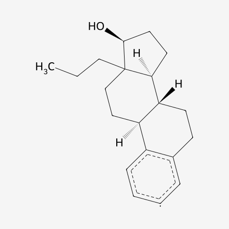 CCCC12CC[C@@H]3c4cc[c]cc4CC[C@H]3[C@@H]1CC[C@@H]2O